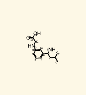 CC(C)CC(N)c1cccc(NCC(=O)O)c1